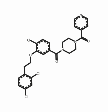 O=C(c1ccncc1)N1CCN(C(=O)c2ccc(Cl)c(OCCc3ccc(Cl)cc3Cl)c2)CC1